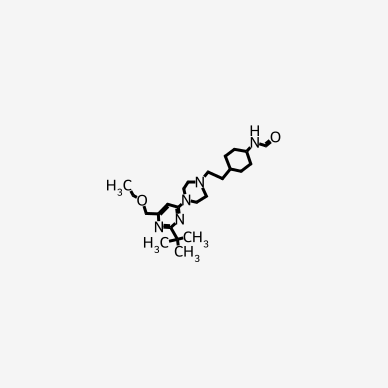 CCOCc1cc(N2CCN(CCC3CCC(NC=O)CC3)CC2)nc(C(C)(C)C)n1